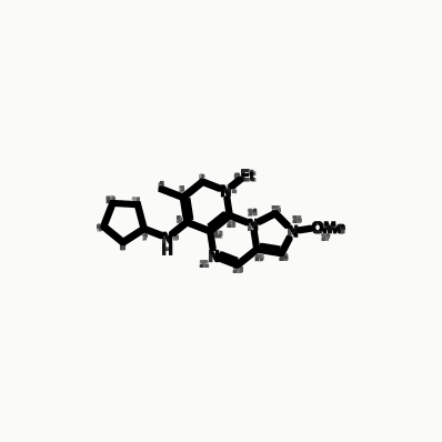 CCN1CC(C)=C(NC2CCCC2)C2=C1N1CN(OC)C=C1C=N2